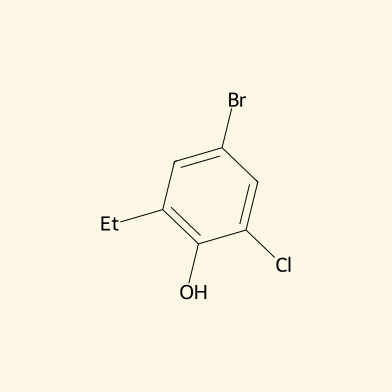 CCc1cc(Br)cc(Cl)c1O